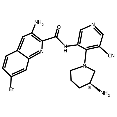 CCc1ccc2cc(N)c(C(=O)Nc3cncc(C#N)c3N3CCC[C@H](N)C3)nc2c1